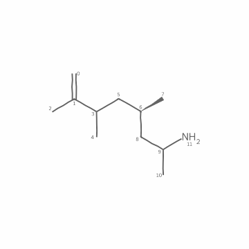 C=C(C)C(C)C[C@@H](C)CC(C)N